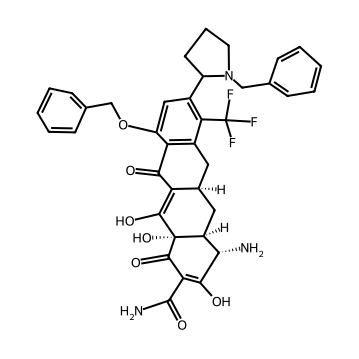 NC(=O)C1=C(O)[C@@H](N)[C@@H]2C[C@@H]3Cc4c(c(OCc5ccccc5)cc(C5CCCN5Cc5ccccc5)c4C(F)(F)F)C(=O)C3=C(O)[C@]2(O)C1=O